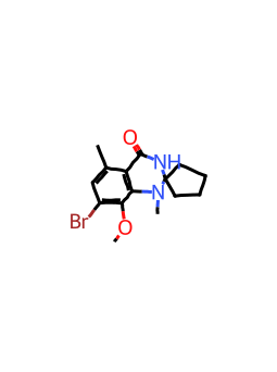 COc1c(Br)cc(C)c2c1N(C)C1(CCCC1)NC2=O